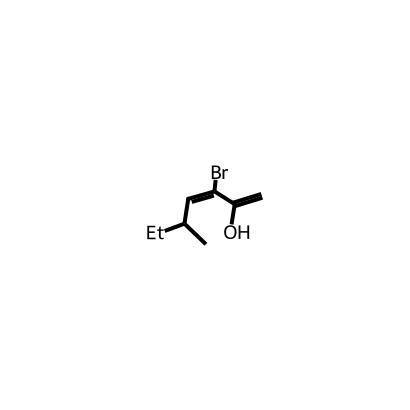 C=C(O)/C(Br)=C\C(C)CC